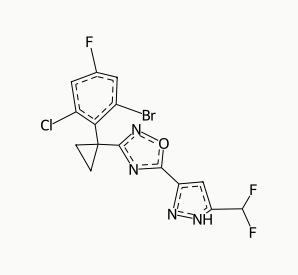 Fc1cc(Cl)c(C2(c3noc(-c4cc(C(F)F)[nH]n4)n3)CC2)c(Br)c1